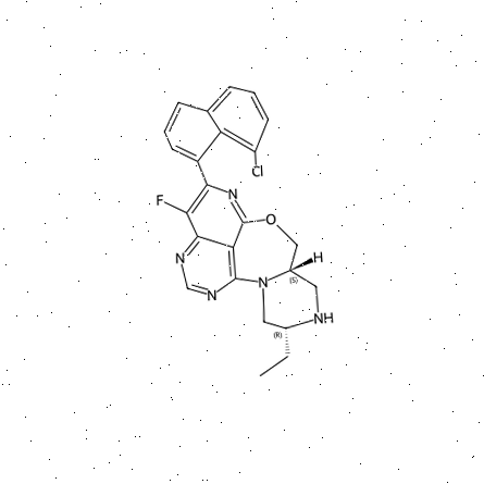 CC[C@@H]1CN2c3ncnc4c(F)c(-c5cccc6cccc(Cl)c56)nc(c34)OC[C@@H]2CN1